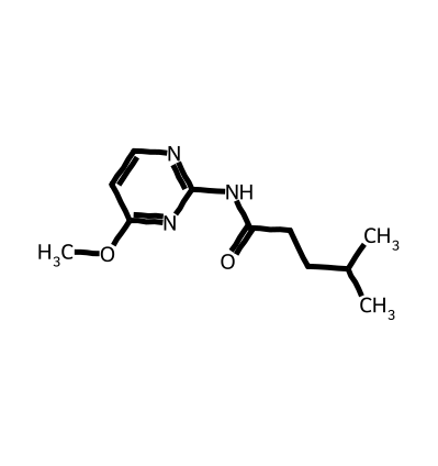 COc1ccnc(NC(=O)CCC(C)C)n1